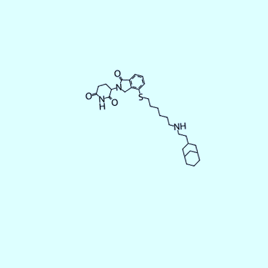 O=C1CCC(N2Cc3c(SCCCCCCNCCC4CC5CCCC(C5)C4)cccc3C2=O)C(=O)N1